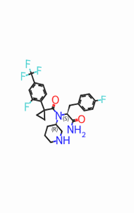 NC(=O)[C@H](Cc1ccc(F)cc1)N(C(=O)C1(c2ccc(C(F)(F)F)cc2F)CC1)[C@@H]1CCCNC1